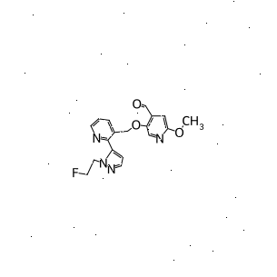 COc1cc(C=O)c(OCc2cccnc2-c2ccnn2CCF)cn1